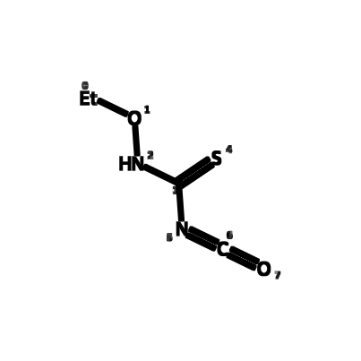 CCONC(=S)N=C=O